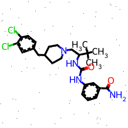 CC(C)(C)C(CN1CCC(Cc2ccc(Cl)c(Cl)c2)CC1)NC(=O)Nc1cccc(C(N)=O)c1